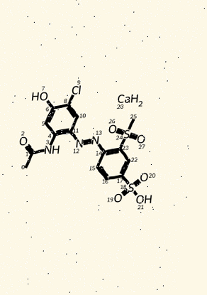 CC(=O)Nc1cc(O)c(Cl)cc1N=Nc1ccc(S(=O)(=O)O)cc1S(C)(=O)=O.[CaH2]